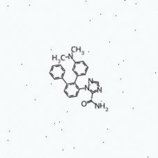 CN(C)c1cccc(-c2c(-c3ccccc3)cccc2-n2ncnc2C(N)=O)c1